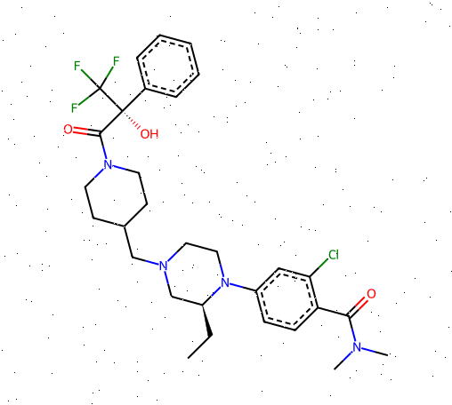 CC[C@H]1CN(CC2CCN(C(=O)[C@](O)(c3ccccc3)C(F)(F)F)CC2)CCN1c1ccc(C(=O)N(C)C)c(Cl)c1